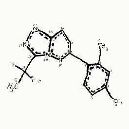 Cc1cc(C(F)(F)F)ccc1-c1ccc2nnc(C(C)(F)F)n2n1